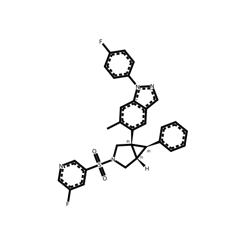 Cc1cc2c(cnn2-c2ccc(F)cc2)cc1[C@]12CN(S(=O)(=O)c3cncc(F)c3)C[C@H]1[C@@H]2c1ccccc1